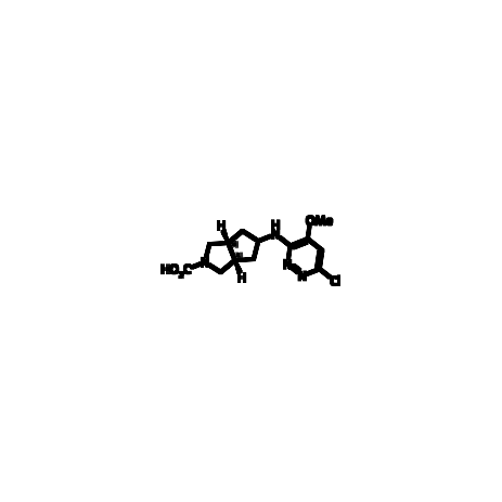 COc1cc(Cl)nnc1NC1C[C@@H]2CN(C(=O)O)C[C@@H]2C1